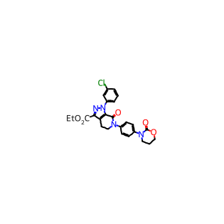 CCOC(=O)c1nn(-c2cccc(Cl)c2)c2c1CCN(c1ccc(N3CCCOC3=O)cc1)C2=O